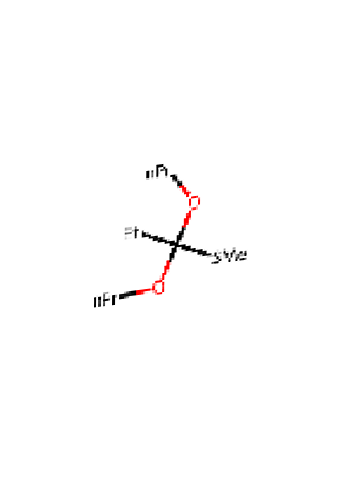 CCCOC(CC)(OCCC)SC